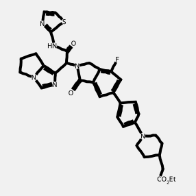 CCOC(=O)CC1CCN(c2ccc(-c3cc(F)c4c(c3)C(=O)N(C(C(=O)Nc3nccs3)c3ncn5c3CCC5)C4)cc2)CC1